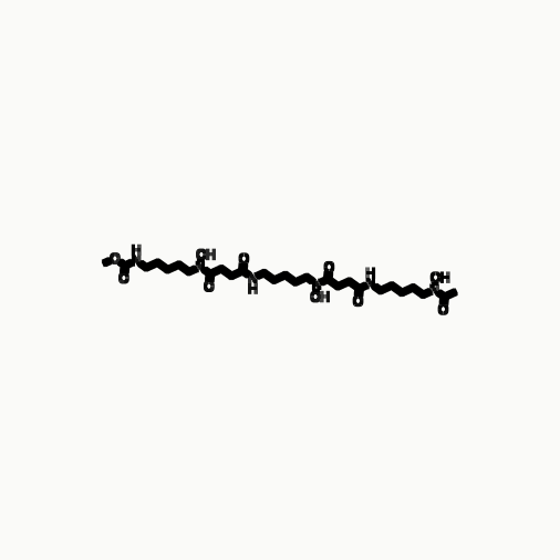 COC(=O)NCCCCCN(O)C(=O)CCC(=O)NCCCCCN(O)C(=O)CCC(=O)NCCCCCN(O)C(C)=O